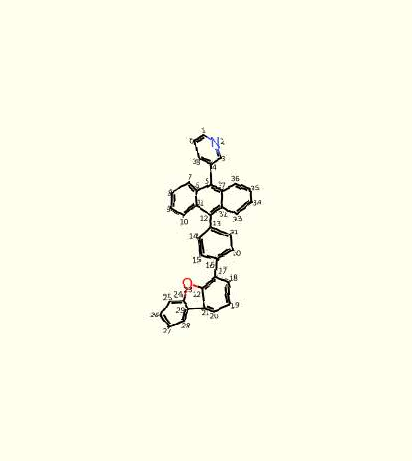 c1cncc(-c2c3ccccc3c(-c3ccc(-c4cccc5c4oc4ccccc45)cc3)c3ccccc23)c1